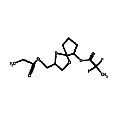 CC(F)(F)C(=O)OC1CCCC12OCC(COC(=O)CC(F)(F)F)O2